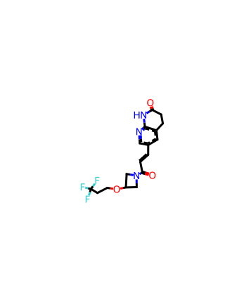 O=C1CCc2cc(C=CC(=O)N3CC(OCCC(F)(F)F)C3)cnc2N1